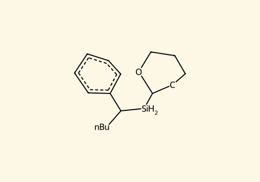 CCCCC([SiH2]C1CCCCO1)c1ccccc1